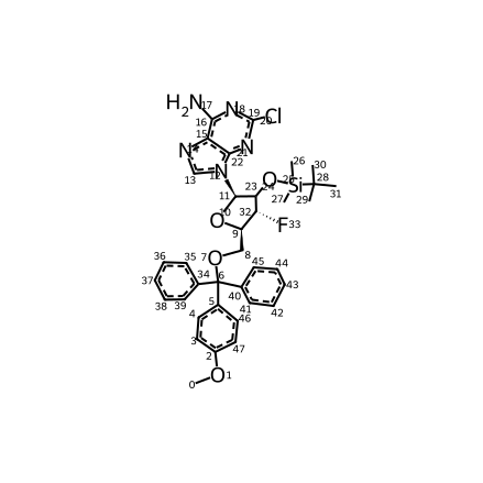 COc1ccc(C(OC[C@H]2O[C@@H](n3cnc4c(N)nc(Cl)nc43)C(O[Si](C)(C)C(C)(C)C)[C@@H]2F)(c2ccccc2)c2ccccc2)cc1